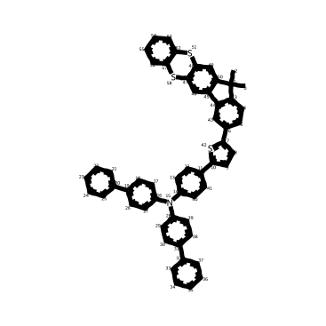 CC1(C)c2ccc(-c3ccc(-c4ccc(N(c5ccc(-c6ccccc6)cc5)c5ccc(-c6ccccc6)cc5)cc4)s3)cc2-c2cc3c(cc21)Sc1ccccc1S3